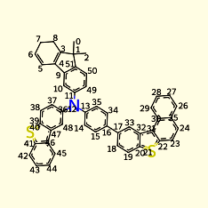 CC1(C)C2=C(C=CCC2)c2cc(N(c3ccc(-c4ccc5sc6ccc7ccccc7c6c5c4)cc3)c3ccc4sc5ccccc5c4c3)ccc21